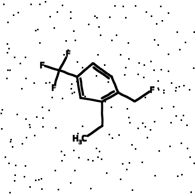 CCc1cc(C(F)(F)F)ccc1CF